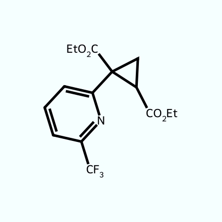 CCOC(=O)C1CC1(C(=O)OCC)c1cccc(C(F)(F)F)n1